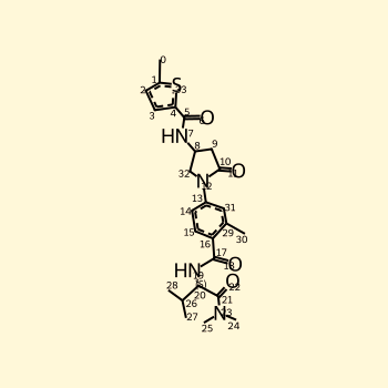 Cc1ccc(C(=O)NC2CC(=O)N(c3ccc(C(=O)N[C@H](C(=O)N(C)C)C(C)C)c(C)c3)C2)s1